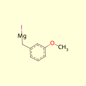 COc1cccc([CH2][Mg][I])c1